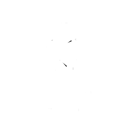 O=C(c1cc(O)c(O)c(O)c1)[C@]1(O)CO[C@H](CO)[C@@H](O)[C@@H]1O